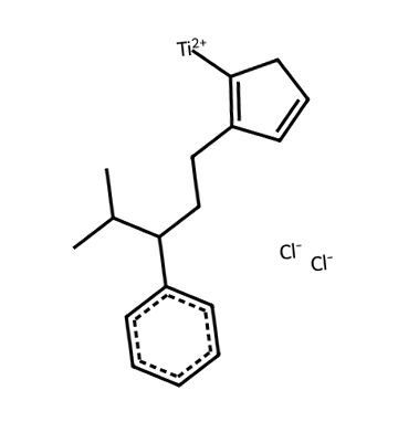 CC(C)C(CCC1=[C]([Ti+2])CC=C1)c1ccccc1.[Cl-].[Cl-]